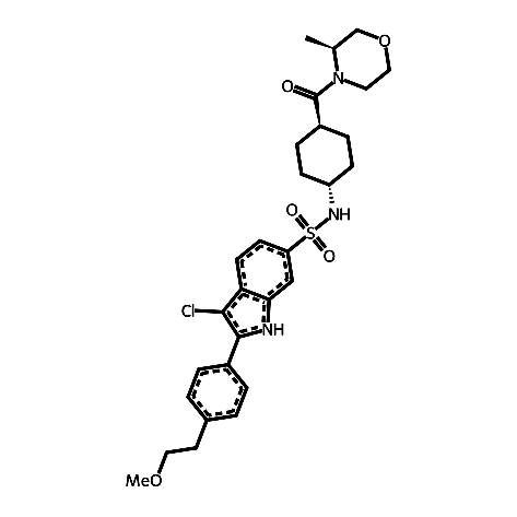 COCCc1ccc(-c2[nH]c3cc(S(=O)(=O)N[C@H]4CC[C@H](C(=O)N5CCOC[C@@H]5C)CC4)ccc3c2Cl)cc1